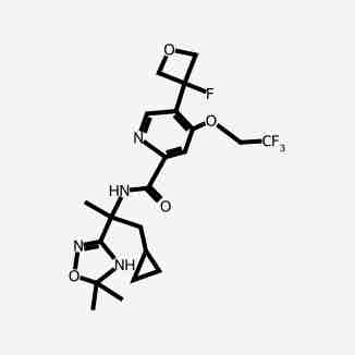 CC1(C)NC(C(C)(CC2CC2)NC(=O)c2cc(OCC(F)(F)F)c(C3(F)COC3)cn2)=NO1